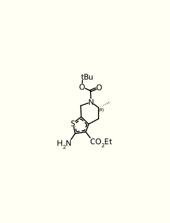 CCOC(=O)c1c(N)sc2c1C[C@@H](C)N(C(=O)OC(C)(C)C)C2